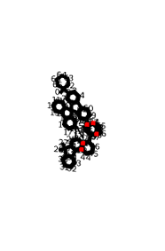 CC1(c2ccc3c(c2)C2(c4ccccc4-c4ccc(N(c5ccc6c(c5)C(C)(C)c5ccccc5-6)c5ccccc5-c5ccccc5)cc42)c2cc(C4(C)CCCCC4)ccc2-3)CCCCC1